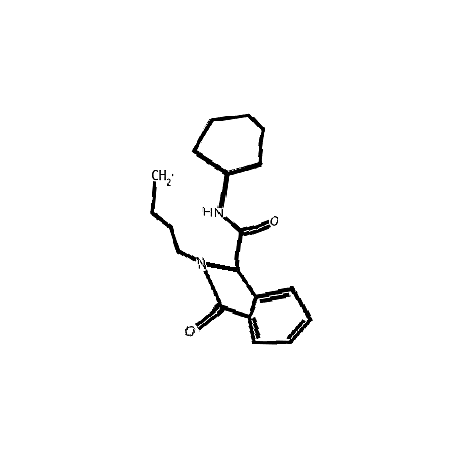 [CH2]CCCN1C(=O)c2ccccc2C1C(=O)NC1CCCCC1